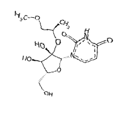 COC[C@@H](C)O[C@@]1(O)[C@H](O)[C@@H](CO)O[C@H]1n1ccc(=O)[nH]c1=O